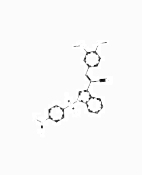 COc1ccc(C=C(C#N)c2cn(S(=O)(=O)c3ccc([N+](=O)[O-])cc3)c3ccccc23)cc1OC